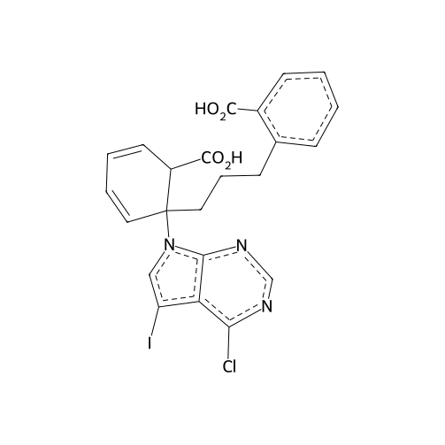 O=C(O)c1ccccc1CCCC1(n2cc(I)c3c(Cl)ncnc32)C=CC=CC1C(=O)O